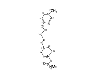 CNC(=O)CN1CCN(CCCCOc2ccc(C)cc2)CC1